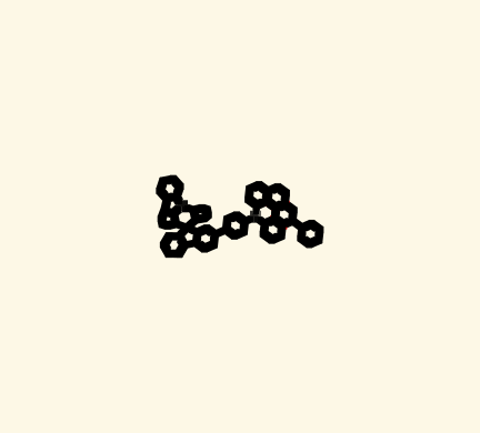 c1ccc(-c2ccc(-c3ccccc3N(c3ccc(-c4ccc5c(c4)C4(c6ccccc6-5)c5ccccc5-n5c6ccccc6c6cccc4c65)cc3)c3ccccc3-c3ccccc3)cc2)cc1